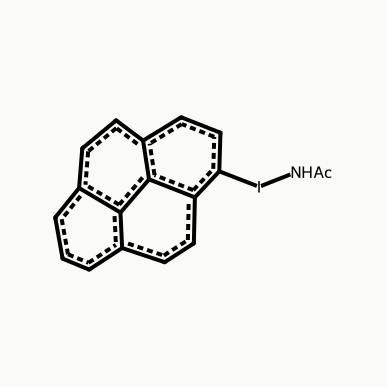 CC(=O)N[I]c1ccc2ccc3cccc4ccc1c2c34